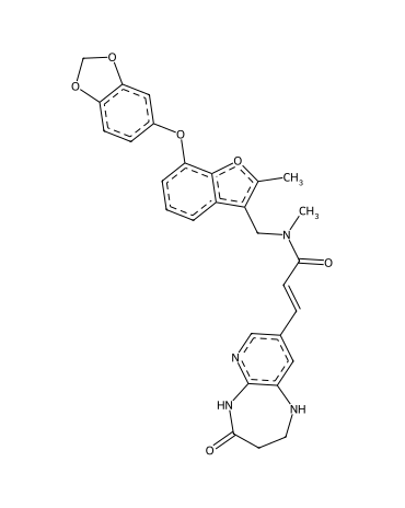 Cc1oc2c(Oc3ccc4c(c3)OCO4)cccc2c1CN(C)C(=O)/C=C/c1cnc2c(c1)NCCC(=O)N2